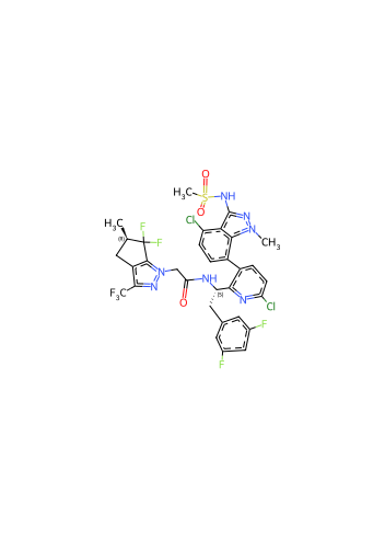 C[C@@H]1Cc2c(C(F)(F)F)nn(CC(=O)N[C@@H](Cc3cc(F)cc(F)c3)c3nc(Cl)ccc3-c3ccc(Cl)c4c(NS(C)(=O)=O)nn(C)c34)c2C1(F)F